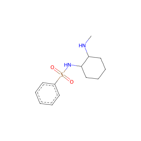 CNC1CCCCC1NS(=O)(=O)c1ccccc1